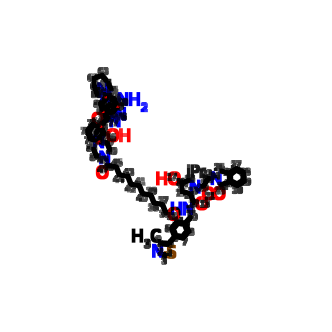 Cc1ncsc1-c1ccc(CNC(=O)C2C[C@@H](O)CN2C(=O)[C@H](C(C)C)N2Cc3ccccc3C2=O)c(OCCCCCCCCCCC(=O)N2CCN(CCOc3cccc(N4C5CCC4CN(c4cc(-c6ccccc6O)nnc4N)C5)c3)CC2)c1